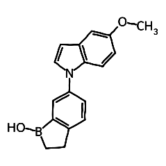 COc1ccc2c(ccn2-c2ccc3c(c2)B(O)CC3)c1